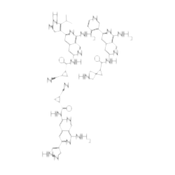 CC(C)c1[nH]ncc1-c1cc2cc(NC(=O)[C@@H]3C[C@H]3C#N)ncc2c(N)n1.Cc1ccncc1-c1cc2cc(NC(=O)C3CC34CNC4)ncc2c(N)n1.N#C[C@@H]1C[C@H]1C(=O)Nc1cc2cc(-c3cn[nH]c3)nc(N)c2cn1